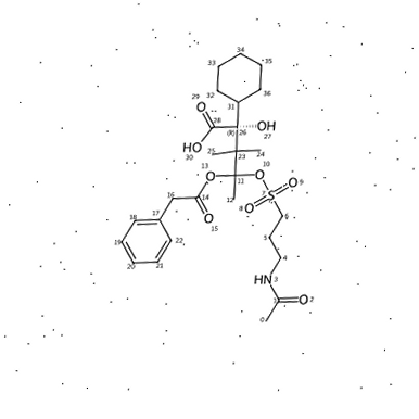 CC(=O)NCCCS(=O)(=O)OC(C)(OC(=O)Cc1ccccc1)C(C)(C)[C@@](O)(C(=O)O)C1CCCCC1